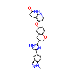 Cn1ncc2cc(-c3c[nH]c(C4COc5ccc(Oc6ccnc7c6CCC(=O)N7)cc5C4)n3)ccc21